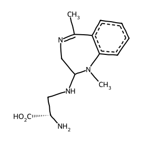 CC1=NCC(NC[C@H](N)C(=O)O)N(C)c2ccccc21